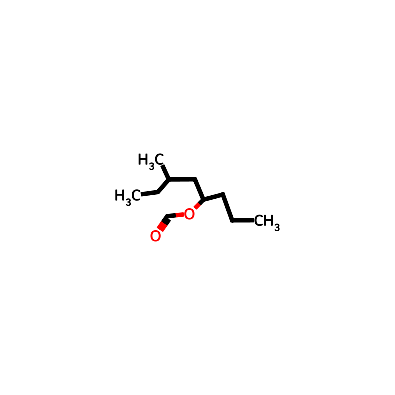 CCCC(CC(C)CC)OC=O